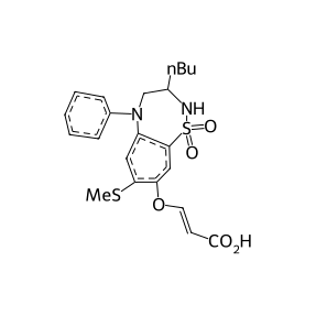 CCCCC1CN(c2ccccc2)c2cc(SC)c(O/C=C/C(=O)O)cc2S(=O)(=O)N1